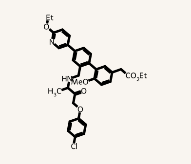 CCOC(=O)Cc1ccc(OC)c(-c2ccc(-c3ccc(OCC)nc3)cc2CNC(C)C(=O)COc2ccc(Cl)cc2)c1